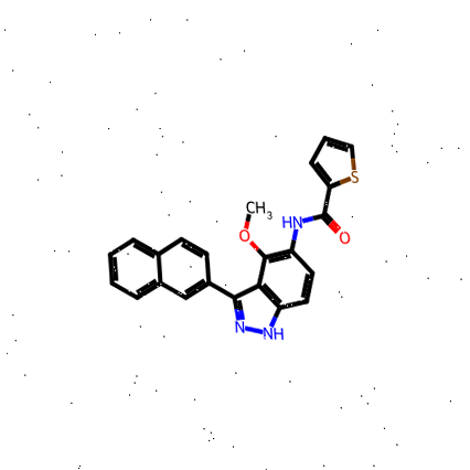 COc1c(NC(=O)c2cccs2)ccc2[nH]nc(-c3ccc4ccccc4c3)c12